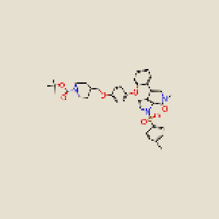 Cc1ccc(S(=O)(=O)n2ccc3c(-c4ccccc4Oc4ccc(OCC5CCN(C(=O)OC(C)(C)C)CC5)cc4)cn(C)c(=O)c32)cc1